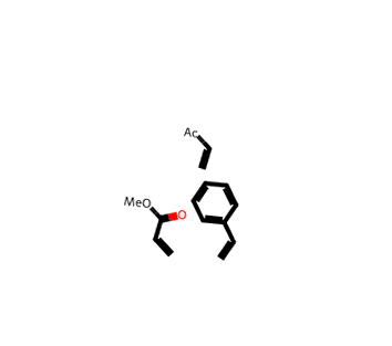 C=CC(=O)OC.C=CC(C)=O.C=Cc1ccccc1